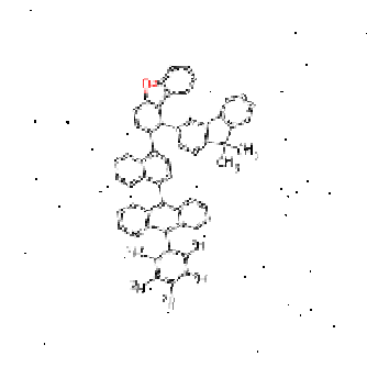 [2H]c1c([2H])c([2H])c(-c2c3ccccc3c(-c3ccc(-c4ccc5oc6ccccc6c5c4-c4ccc5c(c4)-c4ccccc4C5(C)C)c4ccccc34)c3ccccc23)c([2H])c1[2H]